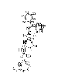 CCC1CCCOC(CC(=O)Nc2cccc(CO/N=C(/c3ccccc3)c3nnnn3C)n2)O1